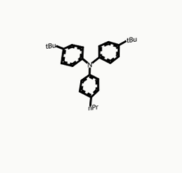 CCCc1ccc(N(c2ccc(C(C)(C)C)cc2)c2ccc(C(C)(C)C)cc2)cc1